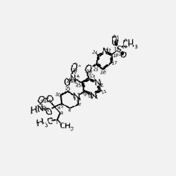 CC(C)CC1(C2CCN(c3ncnc(Oc4ccc(S(C)(=O)=O)nc4)c3[N+](=O)[O-])CC2)ONOO1